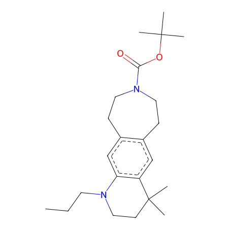 CCCN1CCC(C)(C)c2cc3c(cc21)CCN(C(=O)OC(C)(C)C)CC3